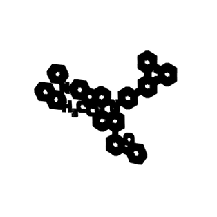 CC1(C)c2cc(N(c3ccccc3)c3cccc4ccccc34)ccc2-c2ccc(N(c3ccc(-c4ccc5c6ccccc6c6ccccc6c5c4)cc3)c3ccc(-c4cccc5c4oc4ccccc45)c4ccccc34)cc21